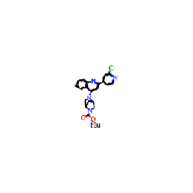 CC(C)(C)OC(=O)N1CC2CC1CN2c1cc(-c2ccnc(Cl)c2)nc2ccccc12